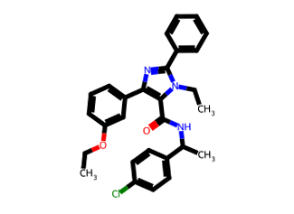 CCOc1cccc(-c2nc(-c3ccccc3)n(CC)c2C(=O)NC(C)c2ccc(Cl)cc2)c1